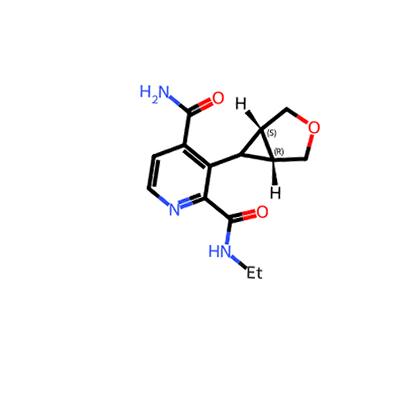 CCNC(=O)c1nccc(C(N)=O)c1C1[C@H]2COC[C@@H]12